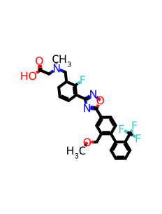 COCc1cc(-c2nc(C3=C(F)C(CN(C)CC(=O)O)CC=C3)no2)ccc1-c1ccccc1C(F)(F)F